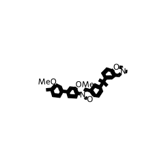 COc1cc(-c2ccc(N3COc4ccc(C(C)(C)c5ccc6c(c5)CN(C)CO6)cc4C3)c(OC)c2)ccc1C